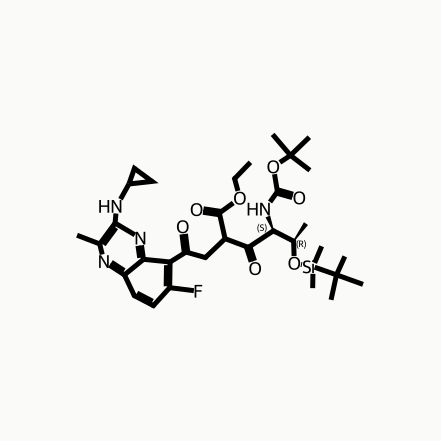 CCOC(=O)C(CC(=O)c1c(F)ccc2nc(C)c(NC3CC3)nc12)C(=O)[C@@H](NC(=O)OC(C)(C)C)[C@@H](C)O[Si](C)(C)C(C)(C)C